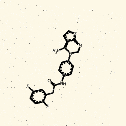 NC1=c2ccsc2=NCN1c1ccc(NC(=O)Cc2cc(F)ccc2F)cc1